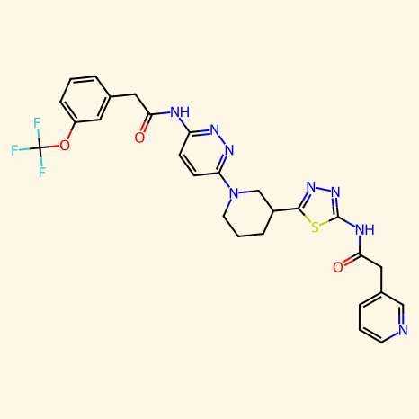 O=C(Cc1cccc(OC(F)(F)F)c1)Nc1ccc(N2CCCC(c3nnc(NC(=O)Cc4cccnc4)s3)C2)nn1